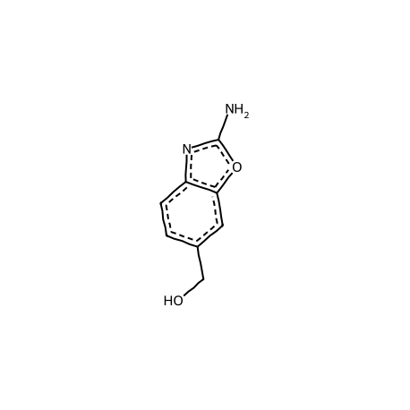 Nc1nc2ccc(CO)cc2o1